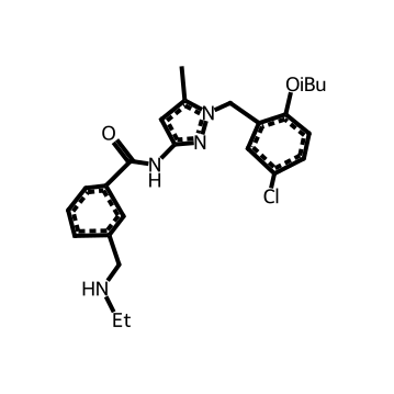 CCNCc1cccc(C(=O)Nc2cc(C)n(Cc3cc(Cl)ccc3OCC(C)C)n2)c1